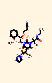 CCNC(=O)C(C)(C)n1c(=O)c2c(C)c(-n3cccn3)sc2n(C[C@H](OCCC#N)c2ccccc2OC)c1=O